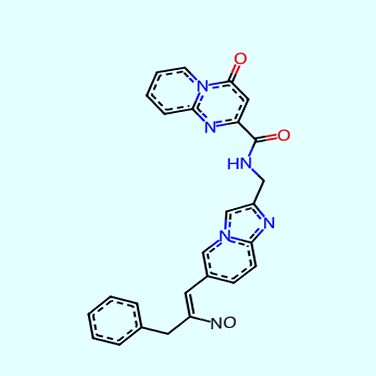 O=N/C(=C\c1ccc2nc(CNC(=O)c3cc(=O)n4ccccc4n3)cn2c1)Cc1ccccc1